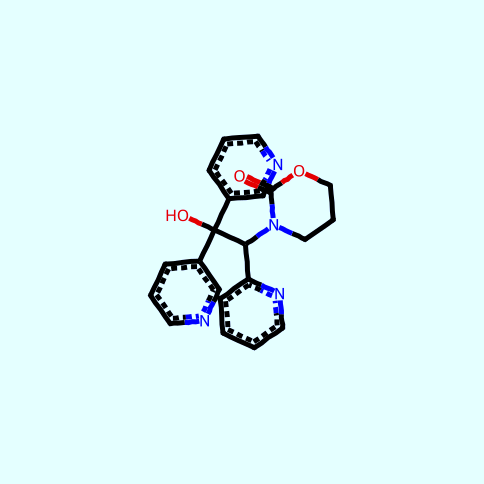 O=C1OCCCN1C(c1ccccn1)C(O)(c1cccnc1)c1cccnc1